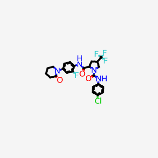 O=C(Nc1ccc(N2CCCCC2=O)cc1F)C1CC(C(F)(F)F)CN1C(=O)Nc1ccc(Cl)cc1